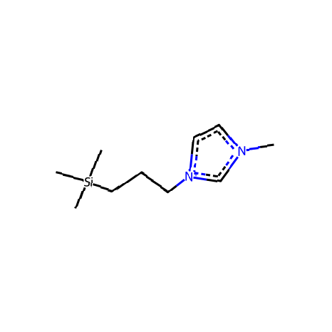 Cn1cc[n+](CCC[Si](C)(C)C)c1